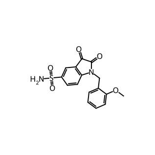 COc1ccccc1CN1C(=O)C(=O)c2cc(S(N)(=O)=O)ccc21